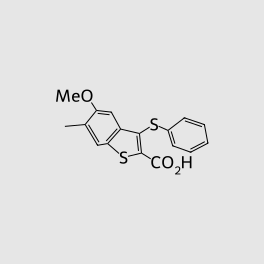 COc1cc2c(Sc3ccccc3)c(C(=O)O)sc2cc1C